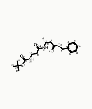 C[C@H](CC(=O)OCc1ccccc1)NC(=O)CCNC(=O)OC(C)(C)C